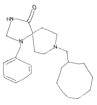 O=C1NCN(c2ccccc2)C12CCN(CC1CCCCCCC1)CC2